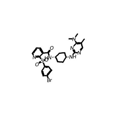 Cc1cnc(N[C@H]2CC[C@@H](NC(=O)c3cccnc3S(=O)(=O)c3ccc(Br)cc3)CC2)nc1N(C)C